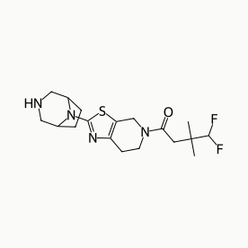 CC(C)(CC(=O)N1CCc2nc(N3C4CCC3CNC4)sc2C1)C(F)F